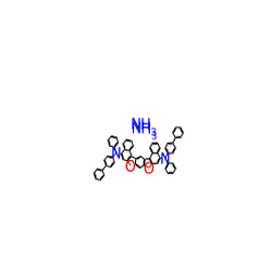 N.N.c1ccc(-c2ccc(N(c3ccccc3)c3cc4oc5cc6oc7cc(N(c8ccccc8)c8ccc(-c9ccccc9)cc8)c8ccccc8c7c6cc5c4c4ccccc34)cc2)cc1